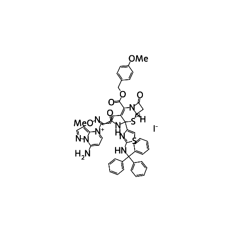 CON=CC(=O)NC1(c2csc(NC(c3ccccc3)(c3ccccc3)c3ccccc3)n2)S[C@H]2CC(=O)N2C(C(=O)OCc2ccc(OC)cc2)=C1C=CC[n+]1ccc(N)n2nccc21.[I-]